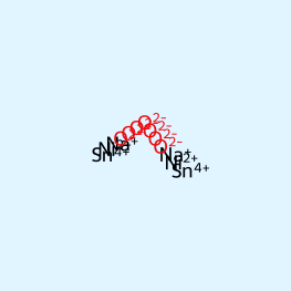 [Na+].[Na+].[Ni+2].[Ni+2].[O-2].[O-2].[O-2].[O-2].[O-2].[O-2].[O-2].[Sn+4].[Sn+4]